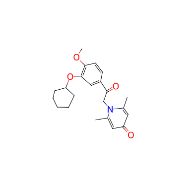 COc1ccc(C(=O)Cn2c(C)cc(=O)cc2C)cc1OC1CCCCC1